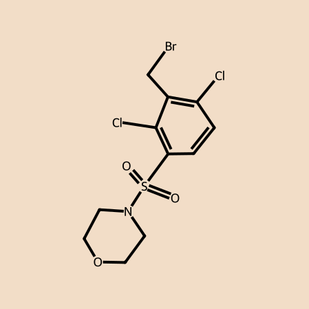 O=S(=O)(c1ccc(Cl)c(CBr)c1Cl)N1CCOCC1